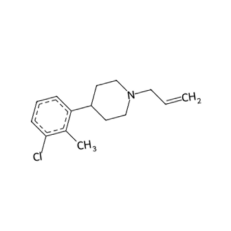 C=CCN1CCC(c2cccc(Cl)c2C)CC1